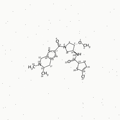 CO[C@H]1CN(C(=O)c2cc3c(s2)CN(C)C(C)C3)C[C@@H]1NC(=O)C1CC=C(Cl)S1